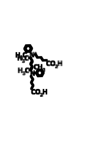 C\C(=C/C=C/C(C)=[N+](\CCCCCC(=O)O)c1ccccc1C)N(CCCCCC(=O)O)c1ccccc1C